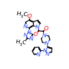 COc1cnc(-n2cnc(C)n2)c2c1ccn2C(=O)C(=O)N1CCN(c2ccnn2-c2ccccn2)CC1